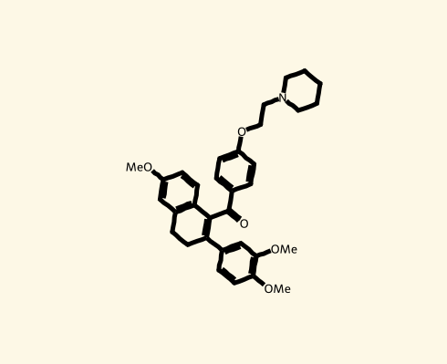 COc1ccc2c(c1)CCC(c1ccc(OC)c(OC)c1)=C2C(=O)c1ccc(OCCN2CCCCC2)cc1